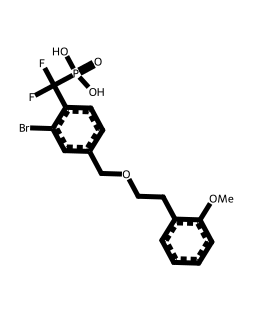 COc1ccccc1CCOCc1ccc(C(F)(F)P(=O)(O)O)c(Br)c1